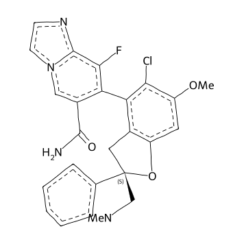 CNC[C@@]1(c2ccccc2)Cc2c(cc(OC)c(Cl)c2-c2c(C(N)=O)cn3ccnc3c2F)O1